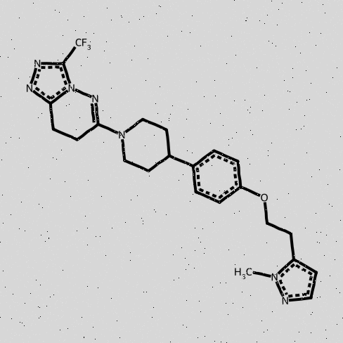 Cn1nccc1CCOc1ccc(C2CCN(C3=Nn4c(nnc4C(F)(F)F)CC3)CC2)cc1